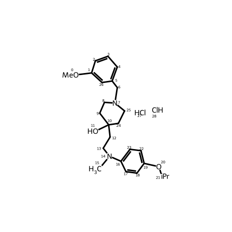 COc1cccc(CN2CCC(O)(CCN(C)c3ccc(OC(C)C)cc3)CC2)c1.Cl.Cl